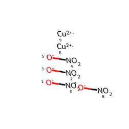 O=[N+]([O-])[O-].O=[N+]([O-])[O-].O=[N+]([O-])[O-].O=[N+]([O-])[O-].[Cu+2].[Cu+2]